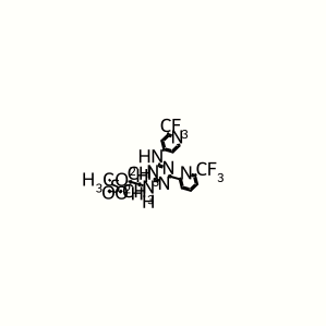 [2H]C([2H])(Nc1nc(Nc2ccnc(C(F)(F)F)c2)nc(-c2cccc(C(F)(F)F)n2)n1)C(C)(C)OS(C)(=O)=O